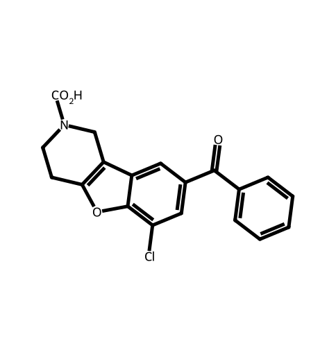 O=C(c1ccccc1)c1cc(Cl)c2oc3c(c2c1)CN(C(=O)O)CC3